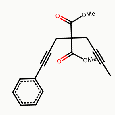 CC#CCC(CC#Cc1ccccc1)(C(=O)OC)C(=O)OC